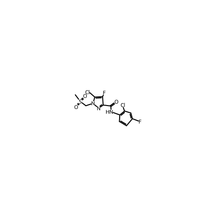 CS(=O)(=O)Cn1nc(C(=O)Nc2ccc(F)cc2Cl)c(F)c1Cl